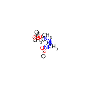 COC(=O)[C@H]1CCCC[C@@H]1COc1ccc(-c2nnn(C)c2CNC(=O)OCc2ccccc2)nc1C